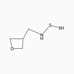 SSNCC1COC1